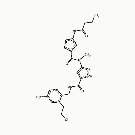 CCCC(=O)Nc1ccn(C(=O)N(C)c2c[nH]c(C(=O)NCc3ccc(O)cc3CCCl)c2)c1